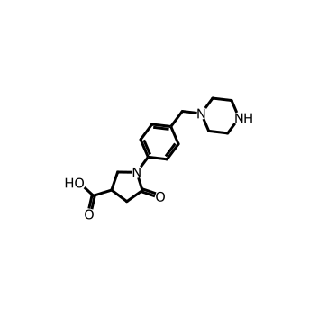 O=C(O)C1CC(=O)N(c2ccc(CN3CCNCC3)cc2)C1